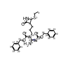 CCSC1NC(=O)C1CCCN(C(=O)OCc1ccccc1)/C(N)=N\C(=O)OCc1ccccc1